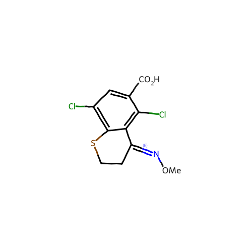 CO/N=C1\CCSc2c(Cl)cc(C(=O)O)c(Cl)c21